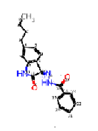 CCCCc1ccc2c(c1)NC(=O)/C2=N\NC(=O)c1ccccc1